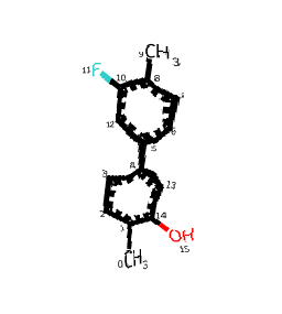 Cc1ccc(-c2ccc(C)c(F)c2)cc1O